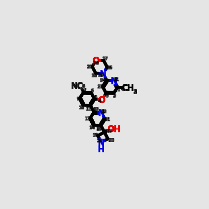 Cc1cc(Oc2cc(C#N)ccc2-c2ccc(C3(O)CNC3)cn2)cc(N2CCOCC2)n1